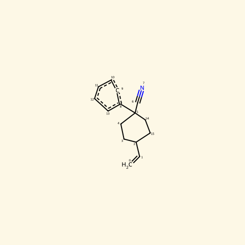 C=CC1CCC(C#N)(c2ccccc2)CC1